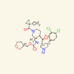 CN(C(=O)OC[C@@H]1CCOC1)[C@@]1(C(=O)C2CCN(C(=O)C3(C)CC3)CC2)CNC[C@@H]1c1ccc(Cl)c(Cl)c1